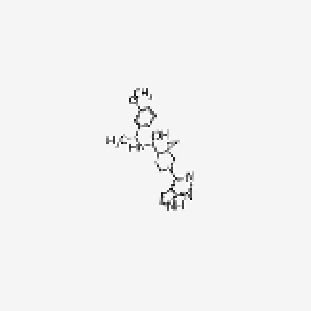 COc1cccc([C@@H](C)NC(O)C2CCN(c3ncnc4[nH]ccc34)CC23CC3)c1